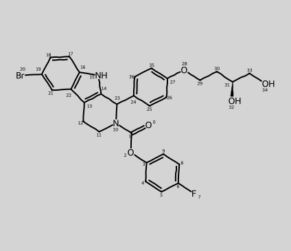 O=C(Oc1ccc(F)cc1)N1CCc2c([nH]c3ccc(Br)cc23)C1c1ccc(OCC[C@H](O)CO)cc1